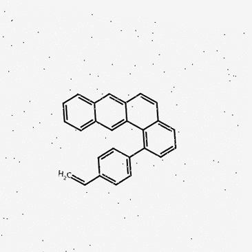 C=Cc1ccc(-c2cccc3ccc4cc5ccccc5cc4c23)cc1